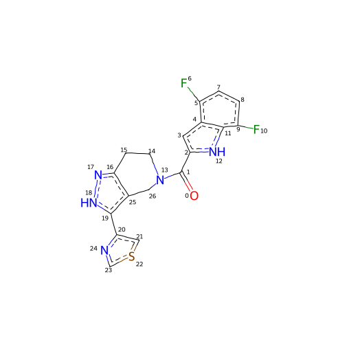 O=C(c1cc2c(F)ccc(F)c2[nH]1)N1CCc2n[nH]c(-c3cscn3)c2C1